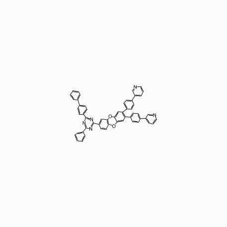 c1ccc(-c2ccc(-c3nc(-c4ccccc4)nc(-c4ccc5c(c4)Oc4cc(-c6ccc(-c7cccnc7)cc6)c(-c6ccc(-c7cccnc7)cc6)cc4O5)n3)cc2)cc1